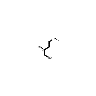 CCCCC[C@@H](CC)CCOC